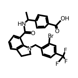 CC(NC(=O)c1cccc2c1N(Cc1ccc(C(F)(F)F)cc1Br)CC2)c1ccc(C(=O)O)cc1